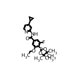 CCOc1cc(C(=O)Nc2cc(C3CC3)ccn2)cc(F)c1B1OC(C)(C)C(C)(C)O1